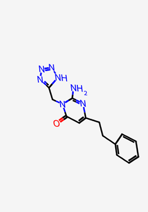 Nc1nc(CCc2ccccc2)cc(=O)n1Cc1nnn[nH]1